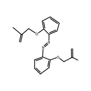 C=C(C)COc1ccccc1/N=N/c1ccccc1OCC(=C)C